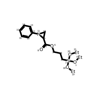 CCO[Si](CCCOC(=O)C1CN1c1ccccc1)(OCC)OCC